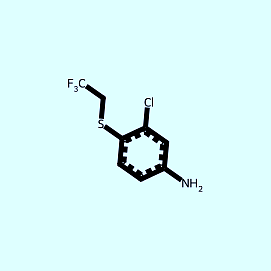 Nc1ccc(SCC(F)(F)F)c(Cl)c1